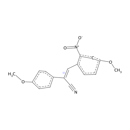 COc1ccc(/C(C#N)=C/c2ccc(OC)cc2[N+](=O)[O-])cc1